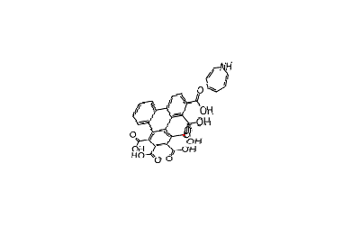 C1=CC=CNC=C1.O=C(O)c1ccc2c3ccccc3c3c(C(=O)O)c(C(=O)O)c(C(=O)O)c(C(=O)O)c3c2c1C(=O)O